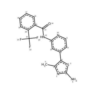 Cc1nc(N)sc1-c1ccnc(NC(=O)c2ccccc2C(F)(F)F)c1